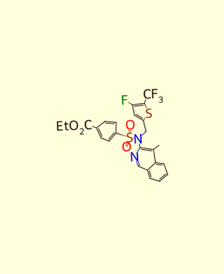 CCOC(=O)c1ccc(S(=O)(=O)N(Cc2cc(F)c(C(F)(F)F)s2)c2ncc3ccccc3c2C)cc1